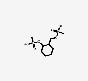 CP(=O)(O)OCC1CCCCC1OP(C)(=O)O